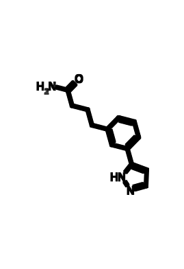 NC(=O)CCCc1cccc(-c2ccn[nH]2)c1